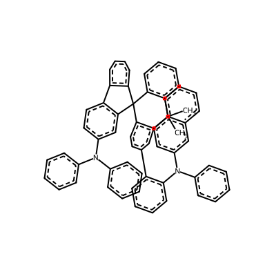 CC1(C)c2ccccc2C2(c3ccccc3-c3ccc(N(c4ccccc4)c4ccccc4)cc32)c2ccc(-c3ccccc3N(c3ccccc3)c3ccc4ccccc4c3)cc21